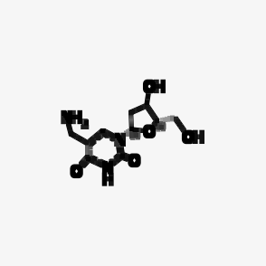 NCc1cn([C@@H]2CC(O)[C@H](CO)O2)c(=O)[nH]c1=O